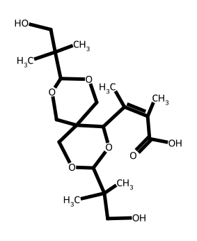 CC(C(=O)O)=C(C)C1OC(C(C)(C)CO)OCC12COC(C(C)(C)CO)OC2